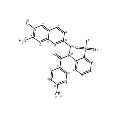 CS(=O)(=O)c1ccccc1N(Cc1ccc2cc(F)c(N)nc2c1)C(=O)c1cnc(C(F)(F)F)nc1